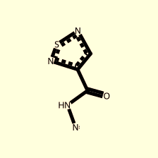 [N]NC(=O)c1cnsn1